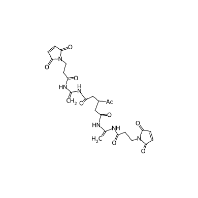 C=C(NC(=O)CCN1C(=O)C=CC1=O)NC(=O)CC(CC(=O)NC(=C)NC(=O)CCN1C(=O)C=CC1=O)C(C)=O